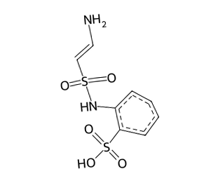 NC=CS(=O)(=O)Nc1ccccc1S(=O)(=O)O